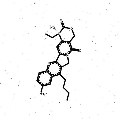 CCCCc1c2c(nc3ccc(N)cc13)-c1cc3c(c(=O)n1C2)COC(=O)[Si@]3(O)CC